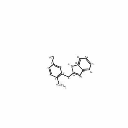 Nc1ccc(Cl)cc1Cc1cc2ccccc2s1